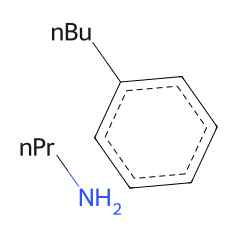 CCCCc1ccccc1.CCCN